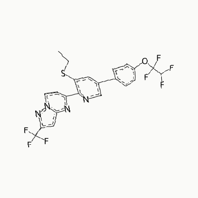 CCSc1cc(-c2ccc(OC(F)(F)C(F)F)cc2)cnc1-c1ccn2nc(C(F)(F)F)cc2n1